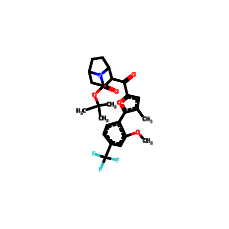 COc1cc(C(F)(F)F)ccc1-c1oc(C(=O)C2CCC3CCC2N3C(=O)OC(C)(C)C)cc1C